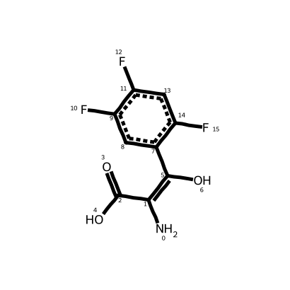 N/C(C(=O)O)=C(\O)c1cc(F)c(F)cc1F